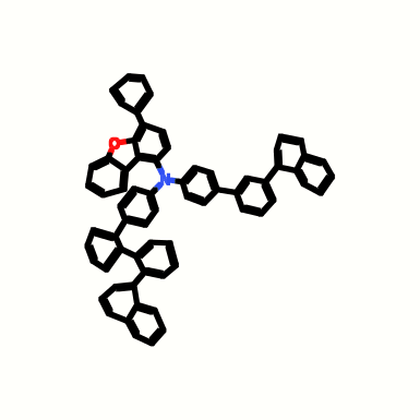 c1ccc(-c2ccc(N(c3ccc(-c4cccc(-c5cccc6ccccc56)c4)cc3)c3ccc(-c4ccccc4-c4ccccc4-c4cccc5ccccc45)cc3)c3c2oc2ccccc23)cc1